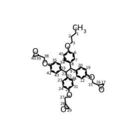 CCCCOc1ccc(C(c2ccc(OCC3CO3)cc2)C(c2ccc(OCC3CO3)cc2)c2ccc(OCC3CO3)cc2)cc1